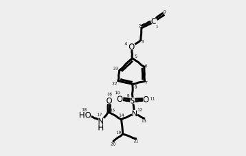 C=C=CCOc1ccc(S(=O)(=O)N(C)C(C(=O)NO)C(C)C)cc1